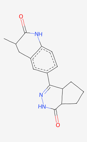 CC1Cc2cc(C3=NNC(=O)C4CCCC34)ccc2NC1=O